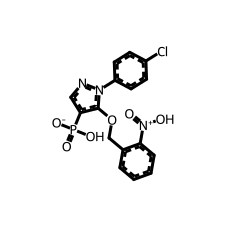 O=[N+](O)c1ccccc1COc1c(P(=O)([O-])O)cnn1-c1ccc(Cl)cc1